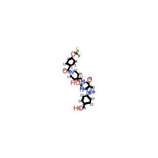 O=C(c1ccc(OC(F)F)cc1)N1CCC(O)(Cn2cnc3c(cnn3-c3ccc(CO)cc3)c2=O)CC1